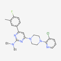 CCN(CC)c1nc(-c2ccc(F)c(C)c2)cc(N2CCN(c3ncccc3Cl)CC2)n1